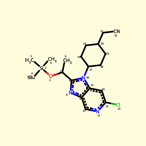 CC(O[Si](C)(C)C(C)(C)C)c1nc2cnc(Cl)cc2n1C1CCC(CC#N)CC1